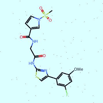 COc1cc(F)cc(-c2csc(NC(=O)CNC(=O)c3ccn(S(C)(=O)=O)c3)n2)c1